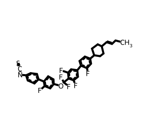 CC/C=C/C1CCC(c2ccc(-c3cc(F)c(C(F)(F)Oc4ccc(-c5ccc(N=C=S)cc5)c(F)c4)c(F)c3)c(F)c2)CC1